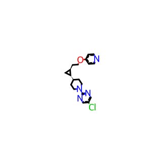 Clc1cnc(N2CCC([C@@H]3C[C@H]3CCOc3ccncc3)CC2)nc1